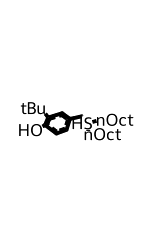 CCCCCCCC[SH](CCCCCCCC)Cc1ccc(O)c(C(C)(C)C)c1